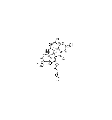 CCOCCOC(=O)OC1=C(c2c(CC)cc(Cl)cc2CC)C(=O)N[C@]12CC[C@@H](OC)CC2